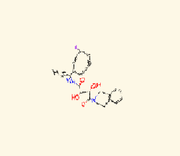 C[C@H](NC(=O)C(O)C(O)C(=O)N1CCc2ccccc2C1)c1cccc(I)c1